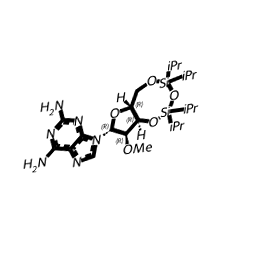 CO[C@@H]1[C@@H]2O[Si](C(C)C)(C(C)C)O[Si](C(C)C)(C(C)C)OC[C@H]2O[C@H]1n1cnc2c(N)nc(N)nc21